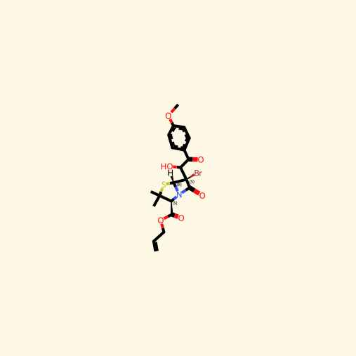 C=CCOC(=O)[C@@H]1N2C(=O)[C@@](Br)(C(O)C(=O)c3ccc(OC)cc3)[C@H]2SC1(C)C